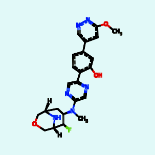 COc1cc(-c2ccc(-c3cnc(N(C)[C@@H]4C[C@H]5COC[C@H](N5)[C@@H]4F)cn3)c(O)c2)cnn1